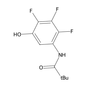 CC(C)(C)C(=O)Nc1cc(O)c(F)c(F)c1F